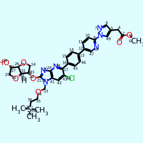 COC(=O)Cc1cnn(-c2ccc(-c3ccc(-c4nc5nc(O[C@@H]6COC7[C@H](O)CO[C@@H]76)n(COCC[Si](C)(C)C)c5cc4Cl)cc3)cn2)c1